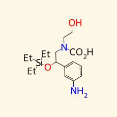 CC[Si](CC)(CC)OC(CN(CCO)C(=O)O)c1cccc(N)c1